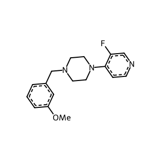 COc1cccc(CN2CCN(c3ccncc3F)CC2)c1